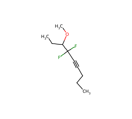 CCCC#CC(F)(F)C(CC)OC